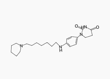 O=C1CCN(c2ccc(NCCCCCCCN3CCCCC3)cc2)C(=O)N1